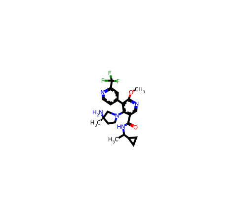 COc1ncc(C(=O)NC(C)C2CC2)c(N2CC[C@](C)(N)C2)c1-c1ccnc(C(F)(F)F)c1